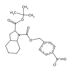 CC(C)(C)OC(=O)C1CC2CCCCC2N1C(=O)OCc1ccc([N+](=O)[O-])cc1